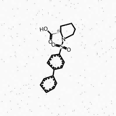 O=C(O)[C@@H]1CCCCN1S(=O)(=O)c1ccc(-c2ccccc2)cc1